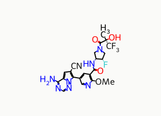 COc1ncc(-c2c(C#N)cc3c(N)ncnn23)cc1C(=O)N[C@@H]1CN(C(=O)[C@@](C)(O)C(F)(F)F)C[C@@H]1F